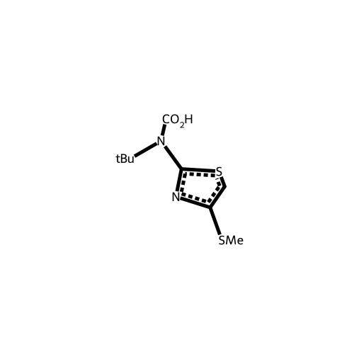 CSc1csc(N(C(=O)O)C(C)(C)C)n1